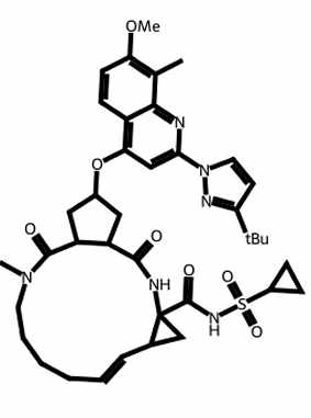 COc1ccc2c(OC3CC4C(=O)NC5(C(=O)NS(=O)(=O)C6CC6)CC5/C=C/CCCCN(C)C(=O)C4C3)cc(-n3ccc(C(C)(C)C)n3)nc2c1C